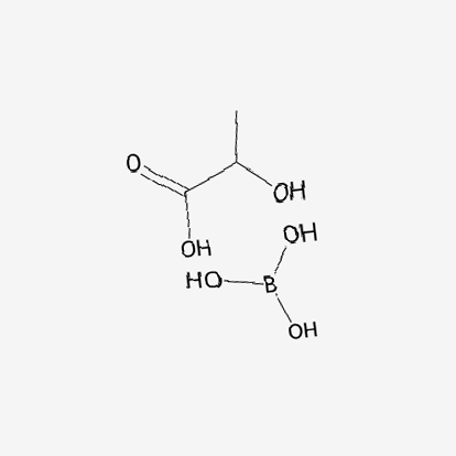 CC(O)C(=O)O.OB(O)O